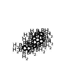 Bc1c(B)c(B)c(-c2c3c(B)c(B)c(B)c(B)c3c(-c3c(B)c(B)c4oc5c(B)c6c(B)c(B)c(B)c(B)c6c(B)c5c4c3B)c3c(B)c(B)c(B)c(B)c23)c(B)c1B